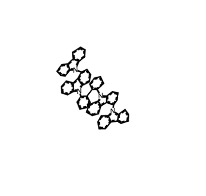 c1ccc(-n2c3ccccc3c3c(-n4c5ccccc5c5ccccc54)cccc32)c(-c2ccccc2-n2c3ccccc3c3c(-n4c5ccccc5c5ccccc54)cccc32)c1